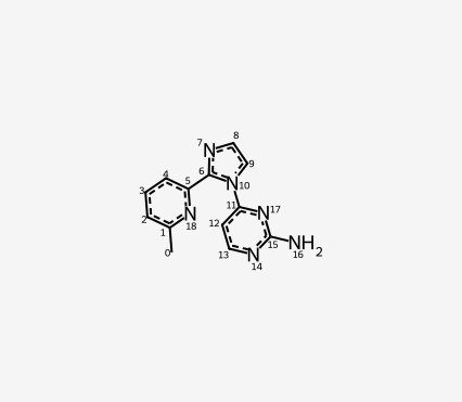 Cc1cccc(-c2nccn2-c2ccnc(N)n2)n1